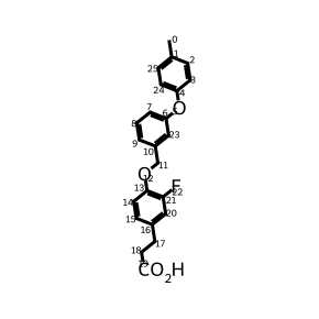 Cc1ccc(Oc2cccc(COc3ccc(CCC(=O)O)cc3F)c2)cc1